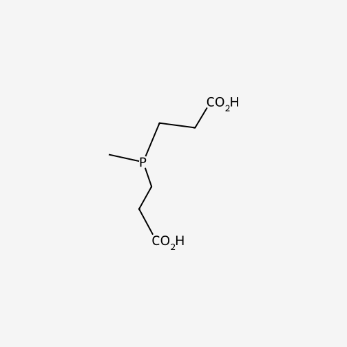 CP(CCC(=O)O)CCC(=O)O